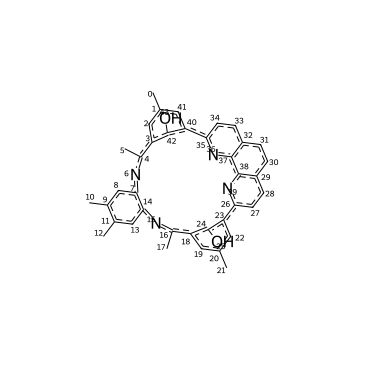 Cc1cc2c(C)nc3cc(C)c(C)cc3nc(C)c3cc(C)cc(c3O)c3ccc4ccc5ccc(nc5c4n3)c(c1)c2O